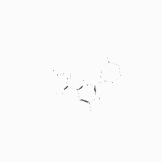 Cc1cc(C(=O)NN)nc(N2CCCC(F)C2)n1